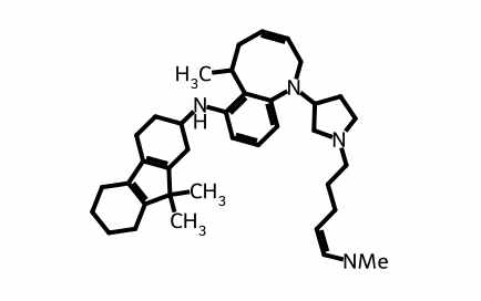 CN/C=C\CCCN1CCC(N2C/C=C\CC(C)c3c(NC4CCC5=C(C4)C(C)(C)C4=C5CCCC4)cccc32)C1